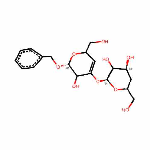 OCC1C=C(O[C@@H]2OC(CO)C[C@H](O)C2O)C(O)[C@H](OCc2ccccc2)O1